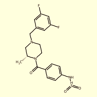 C[C@@H]1CN(Cc2cc(F)cc(F)c2)CCN1C(=O)c1ccc(N[SH](=O)=O)cc1